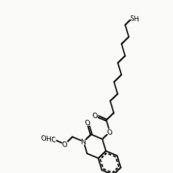 O=COCN1Cc2ccccc2C(OC(=O)CCCCCCCCCCS)C1=O